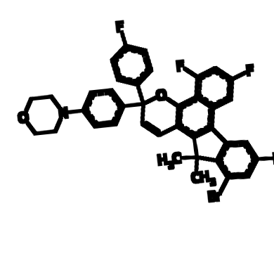 CC1(C)c2c(Br)cc(Br)cc2-c2c1c1c(c3c(F)cc(F)cc23)OC(c2ccc(F)cc2)(c2ccc(N3CCOCC3)cc2)C=C1